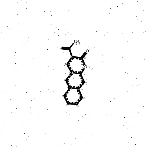 CC(=O)c1cc2cc3ccccc3cc2oc1=O